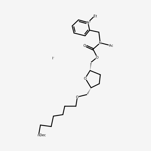 CCCCCCCCCCCCCCCCOC[C@H]1CC[C@@H](COC(=O)N(Cc2cccc[n+]2CC)C(C)=O)O1.[I-]